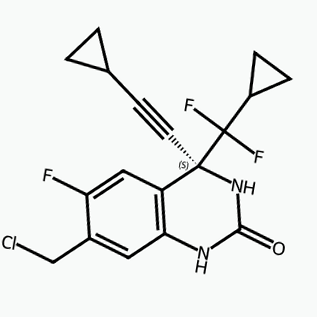 O=C1Nc2cc(CCl)c(F)cc2[C@@](C#CC2CC2)(C(F)(F)C2CC2)N1